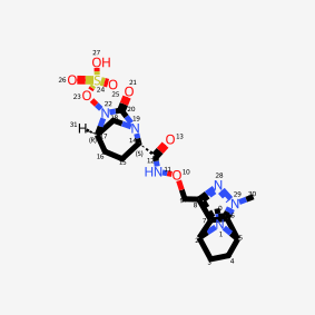 CN1C2CCC1c1c2c(CONC(=O)[C@@H]2CC[C@@H]3CN2C(=O)N3OS(=O)(=O)O)nn1C